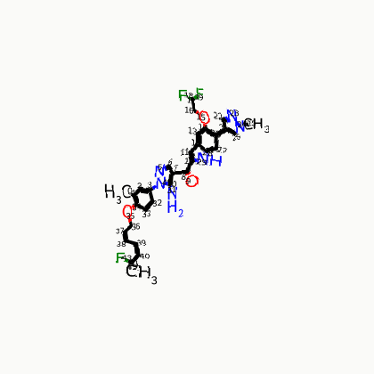 Cc1cc(-n2ncc(C(=O)c3cc4cc(OCC(F)F)c(-c5cnn(C)c5)cc4[nH]3)c2N)ccc1OC/C=C\C=C/C(C)F